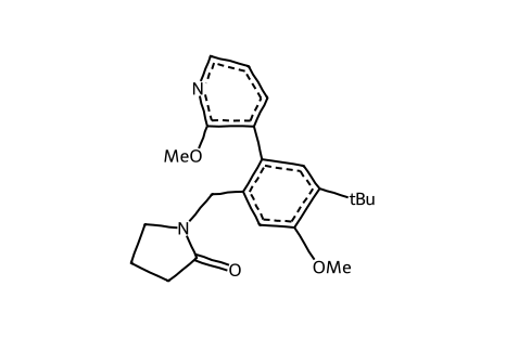 COc1cc(CN2CCCC2=O)c(-c2cccnc2OC)cc1C(C)(C)C